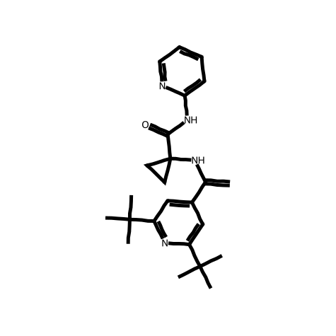 C=C(NC1(C(=O)Nc2ccccn2)CC1)c1cc(C(C)(C)C)nc(C(C)(C)C)c1